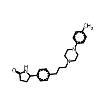 Cc1ccc(N2CCN(CCCc3ccc(C4CCC(=O)N4)cc3)CC2)cc1